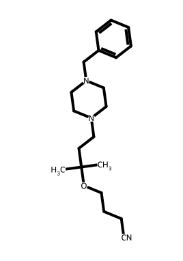 CC(C)(CCN1CCN(Cc2ccccc2)CC1)OCCCC#N